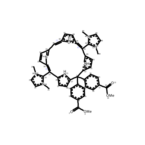 COC(=O)c1ccc(C2(c3ccc(C(=O)OC)cc3)c3ccc([nH]3)/C(c3n(C)cc[n+]3C)=C3/C=CC(=N3)/C=c3/cc/c([nH]3)=C(\c3n(C)cc[n+]3C)c3ccc2[nH]3)cc1